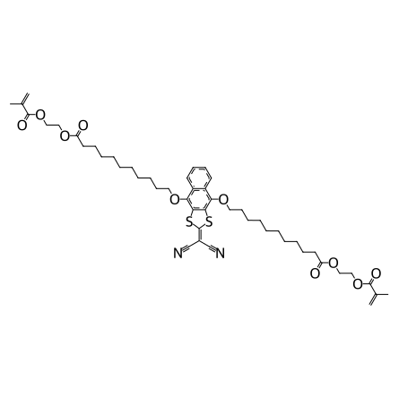 C=C(C)C(=O)OCCOC(=O)CCCCCCCCCCOc1c2c(c(OCCCCCCCCCCC(=O)OCCOC(=O)C(=C)C)c3ccccc13)SC(=C(C#N)C#N)S2